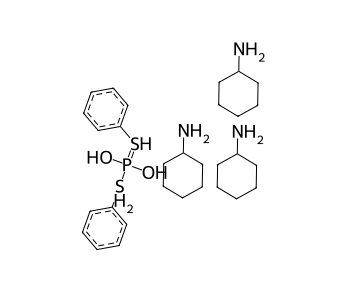 NC1CCCCC1.NC1CCCCC1.NC1CCCCC1.OP(O)(=[SH]c1ccccc1)[SH2]c1ccccc1